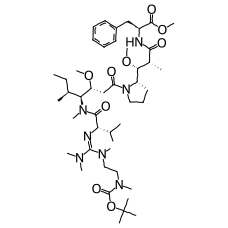 CC[C@H](C)[C@@H]([C@@H](CC(=O)N1CCC[C@H]1[C@H](OC)[C@@H](C)C(=O)N[C@@H](Cc1ccccc1)C(=O)OC)OC)N(C)C(=O)[C@@H](/N=C(/N(C)C)N(C)CCN(C)C(=O)OC(C)(C)C)C(C)C